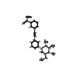 CNC(=O)c1cccc(C#Cc2cccc([C@H]3O[C@H](CO)[C@@H](O)[C@H](O)[C@H]3O)c2)c1